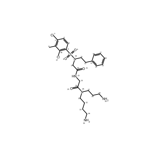 Cc1c(Cl)ccc(S(=O)(=O)N(CCc2ccccc2)CC(=O)NCC(=O)N(CCCN)CCCCN)c1Cl